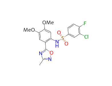 COc1cc(NS(=O)(=O)c2ccc(F)c(Cl)c2)c(-c2nc(C)no2)cc1OC